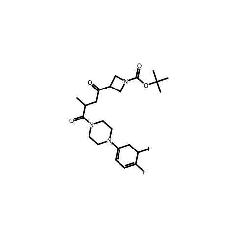 CC(CC(=O)C1CN(C(=O)OC(C)(C)C)C1)C(=O)N1CCN(C2=CC=C(F)C(F)C2)CC1